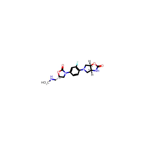 O=C(O)NC[C@H]1CN(c2ccc(N3C[C@@H]4OC(=O)N[C@@H]4C3)c(F)c2)C(=O)O1